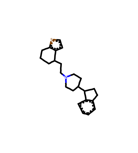 c1ccc2c(c1)CCC2C1CCN(CCC2CCCc3sccc32)CC1